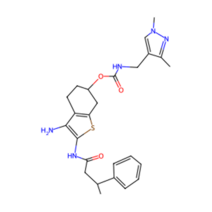 Cc1nn(C)cc1CNC(=O)OC1CCc2c(sc(NC(=O)CC(C)c3ccccc3)c2N)C1